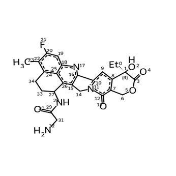 CC[C@]1(O)C(=O)OCc2c1cc1n(c2=O)Cc2c-1nc1cc(F)c(C)c3c1c2C(NC(=O)CN)CC3